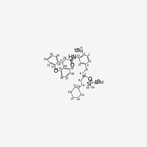 CC(C)(C)c1ccc(CC[C@@H](CCC2CCCCC2)O[Si](C)(C)C(C)(C)C)cc1NC(=O)CC1c2ccccc2Oc2ccccc21